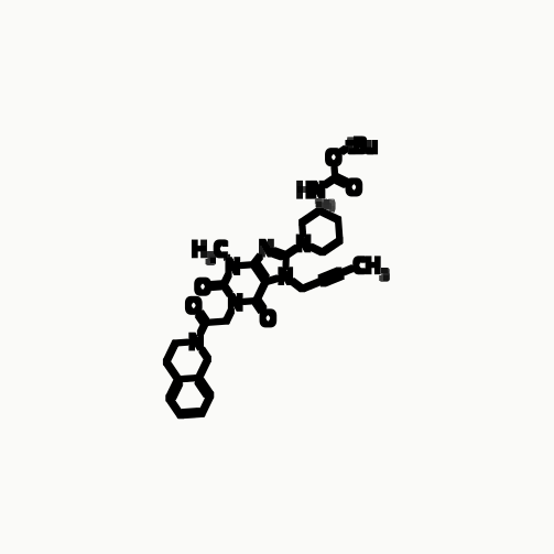 CC#CCn1c(N2CCC[C@@H](NC(=O)OC(C)(C)C)C2)nc2c1c(=O)n(CC(=O)N1CCc3ccccc3C1)c(=O)n2C